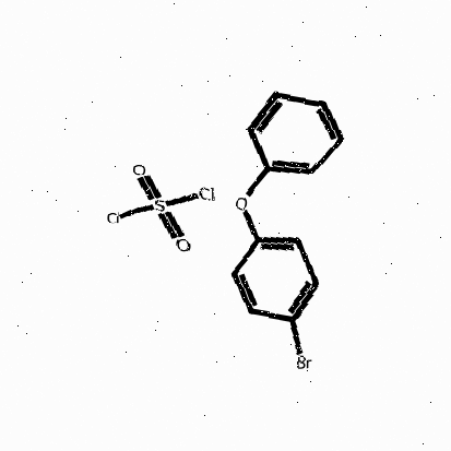 Brc1ccc(Oc2ccccc2)cc1.O=S(=O)(Cl)Cl